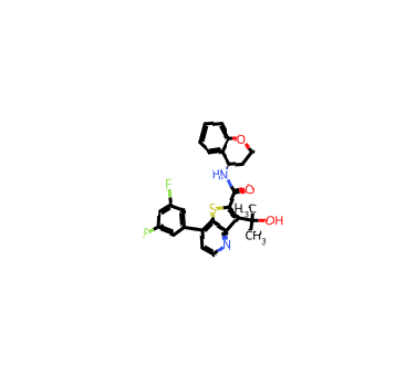 CC(C)(O)c1c(C(=O)N[C@H]2CCOc3ccccc32)sc2c(-c3cc(F)cc(F)c3)ccnc12